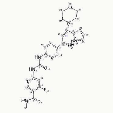 CNC(=O)c1ccc(NC(=O)Nc2ccc(C(=N)/N=C(\c3ccc[nH]3)N3CCOCC3)cc2)cc1F